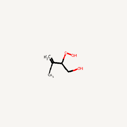 C=C(C)C(CO)OO